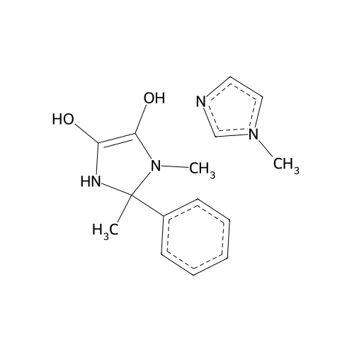 CN1C(O)=C(O)NC1(C)c1ccccc1.Cn1ccnc1